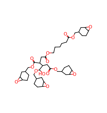 O=C(CCCCCOC(=O)CC(C(=O)OCC1CCC2OC2C1)C(CC(=O)OCC1CCC2OC2C1)C(O)OCC1CCC2OC2C1)OCC1CCC2OC2C1